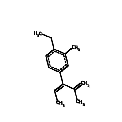 C=C(C)/C(=C\C)c1ccc(CC)c(C)c1